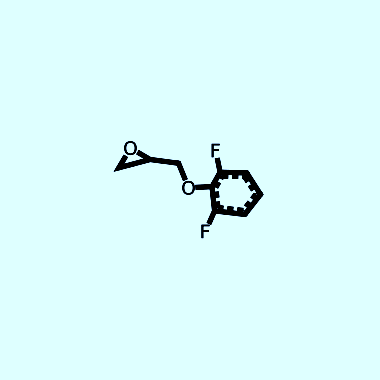 Fc1cccc(F)c1OCC1CO1